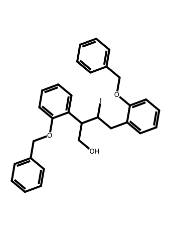 OCC(c1ccccc1OCc1ccccc1)C(I)Cc1ccccc1OCc1ccccc1